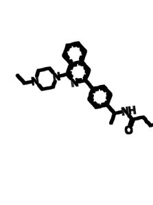 CCCC(=O)NC(C)c1ccc(-c2cc3ccccc3c(N3CCN(CC)CC3)n2)cc1